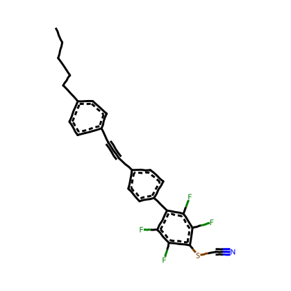 CCCCCc1ccc(C#Cc2ccc(-c3c(F)c(F)c(SC#N)c(F)c3F)cc2)cc1